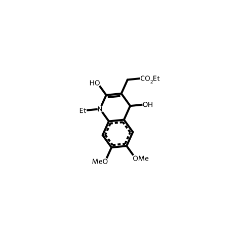 CCOC(=O)CC1=C(O)N(CC)c2cc(OC)c(OC)cc2C1O